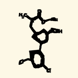 CN(Cc1cc(O)cc(-c2cc(Cl)cc(Cl)c2)c1)C(=O)OC(C)(C)C